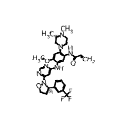 C=CC(=O)Nc1cc(Nc2cc(N3OCC[C@@H]3c3cccc(C(F)(F)F)c3)ncn2)c(OC)cc1N1CCN(C)[C@@H](C)C1